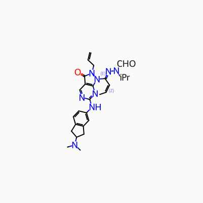 C=CCn1c(=O)c2cnc(Nc3ccc4c(c3)CC(N(C)C)C4)nc2n1C(/C=C\C)=N/N(C=O)C(C)C